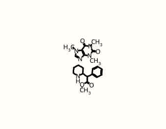 COC(=O)C(c1ccccc1)C1CCCCN1.Cn1c(=O)c2c(ncn2C)n(C)c1=O